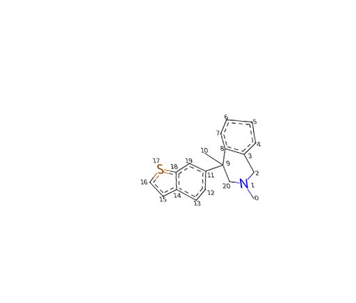 CN1Cc2ccccc2C(C)(c2ccc3ccsc3c2)C1